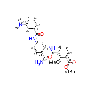 COc1c(C(=O)Nc2cc(NC(=O)c3cccc(N(C)C)c3)ccc2CN)cccc1C(=O)OC(C)(C)C